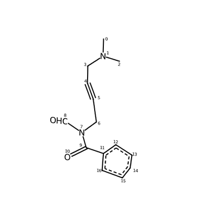 CN(C)CC#CCN(C=O)C(=O)c1ccccc1